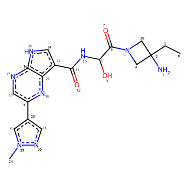 CCC1(N)CN(C(=O)C(O)NC(=O)c2c[nH]c3ncc(-c4cnn(C)c4)nc23)C1